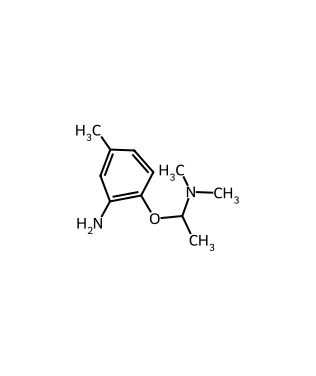 Cc1ccc(OC(C)N(C)C)c(N)c1